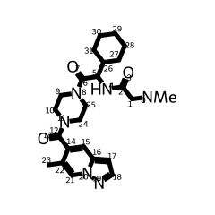 CNCC(=O)NC(C(=O)N1CCN(C(=O)c2cc3ccnn3cc2C)CC1)C1CCCCC1